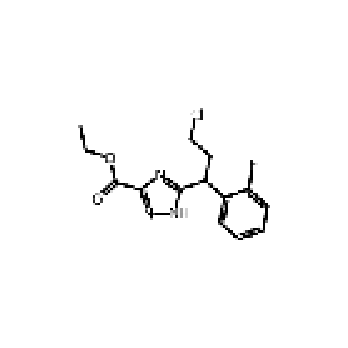 CCOC(=O)c1n[nH]c(C(CCCl)c2ccccc2F)n1